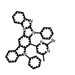 Cc1cc(-c2c3c(cc4c2n(-c2ccccc2)c2nc5ccccc5n42)c2ccccc2n3-c2ccccc2)nc(Br)n1